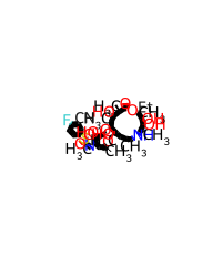 CC[C@H]1OC(=O)[C@H](C)[C@@H](O)[C@H](C)[C@@H](O[C@@H]2O[C@H](C)C[C@H](N(C)S(=O)(=O)c3ccc(F)c(C#N)c3)[C@H]2O)[C@](C)(O)C[C@@H](C)CN[C@H](C)[C@@H](O)[C@]1(C)O